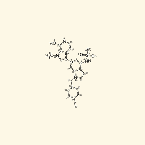 CCS(=O)(=O)Nc1cc(-c2cn(C)c3c(O)nccc23)cc2c1ncn2Cc1ccc(F)cc1